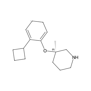 C[C@@]1(OC2=CC[CH]C=C2C2CCC2)CCCNC1